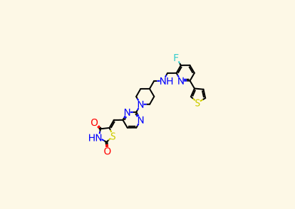 O=C1NC(=O)/C(=C/c2ccnc(N3CCC(CNCc4nc(-c5ccsc5)ccc4F)CC3)n2)S1